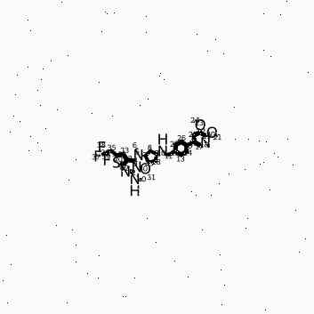 CNc1nc(N(C)[C@H]2C[C@@H](NCc3ccc(-c4cnc(OC)c(OC)c4)cc3)C[C@@H]2OC)c2cc(CC(F)(F)F)sc2n1